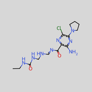 CCNC(=O)NCNC=NC(=O)c1nc(Cl)c(N2CCCC2)nc1N